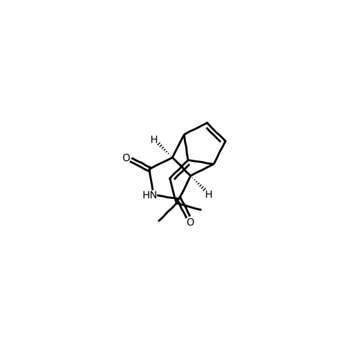 CC(C)/C=C1\C2C=CC1[C@@H]1C(=O)NC(=O)[C@H]21